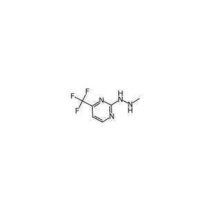 CNNc1nccc(C(F)(F)F)n1